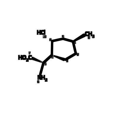 C[C@H]1CC[C@H]([C@H](N)C(=O)O)CC1.Cl